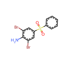 Nc1c(Br)cc(S(=O)(=O)c2ccccc2)cc1Br